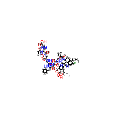 CC[C@@]1(O)C(=O)OCc2c1cc1n(c2=O)Cc2c-1nc1cc(F)c(C)c3c1c2[C@@H](NC(=O)C1(OCNC(=O)CNC(=O)[C@H](Cc2ccccc2)NC(=O)CNC(=O)CNC(=O)[C@@H](CNCC(=O)O)N2C(=O)C=CC2=O)CCC1)CC3